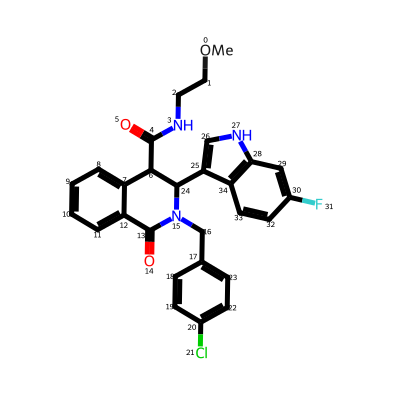 COCCNC(=O)C1c2ccccc2C(=O)N(Cc2ccc(Cl)cc2)C1c1c[nH]c2cc(F)ccc12